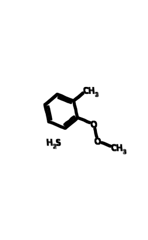 COOc1ccccc1C.S